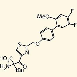 COc1cc(F)c(F)cc1-c1ccc(OCc2nc(C(=O)C(N)(C(=O)O)C(C)(C)C)cs2)cc1